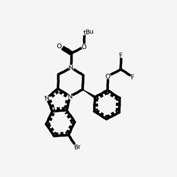 CC(C)(C)OC(=O)N1Cc2nc3ccc(Br)cc3n2[C@H](c2ccccc2OC(F)F)C1